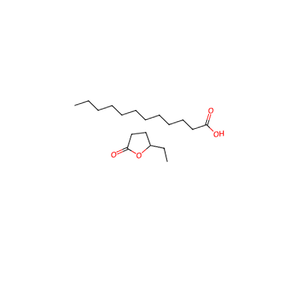 CCC1CCC(=O)O1.CCCCCCCCCCCC(=O)O